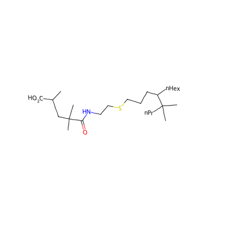 CCCCCCC(CCCSCCNC(=O)C(C)(C)CC(C)C(=O)O)C(C)(C)CCC